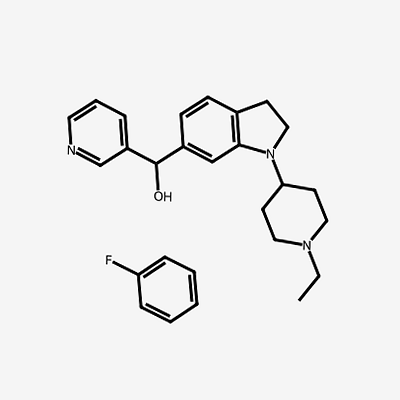 CCN1CCC(N2CCc3ccc(C(O)c4cccnc4)cc32)CC1.Fc1ccccc1